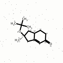 CC(C)(C)O[C@]1(C)CC2=CC(=O)CCC2C1